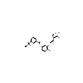 Cc1ccc(NC(=O)c2cccc(C(C)(C)C#N)c2)cc1-n1cc(-c2cnn(C)c2C)nn1